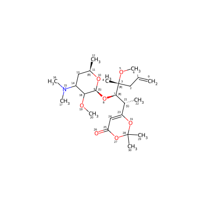 C=CC[C@@](C)(OC)[C@H](O[C@@H]1O[C@H](C)CC(N(C)C)C1OC)[C@H](C)C1=CC(=O)OC(C)(C)O1